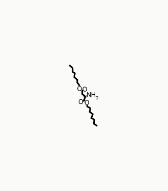 CCCCCCCCOC(=O)C[C@H](N)C(=O)OCCCCCCCC